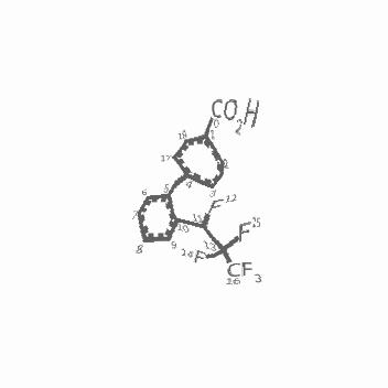 O=C(O)c1ccc(-c2ccccc2C(F)C(F)(F)C(F)(F)F)cc1